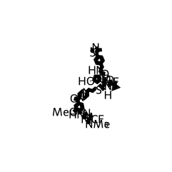 CNc1nc(Nc2ccc(C(=O)N3CCN(CCCSC(C)(C)[C@H](NC(=O)C4(F)CC4)C(=O)N4C[C@H](O)C[C@H]4C(=O)NCc4ccc(-c5scnc5C)cc4)CC3)cc2OC)ncc1C(F)(F)F